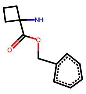 [NH]C1(C(=O)OCc2ccccc2)CCC1